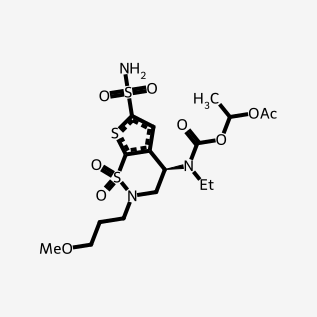 CCN(C(=O)OC(C)OC(C)=O)[C@H]1CN(CCCOC)S(=O)(=O)c2sc(S(N)(=O)=O)cc21